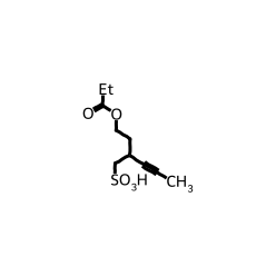 CC#CC(CCOC(=O)CC)CS(=O)(=O)O